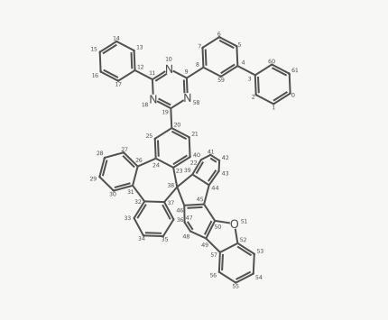 c1ccc(-c2cccc(-c3nc(-c4ccccc4)nc(-c4ccc5c(c4)-c4ccccc4-c4ccccc4C54c5ccccc5-c5c4ccc4c5oc5ccccc54)n3)c2)cc1